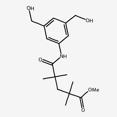 COC(=O)C(C)(C)CC(C)(C)C(=O)Nc1cc(CO)cc(CO)c1